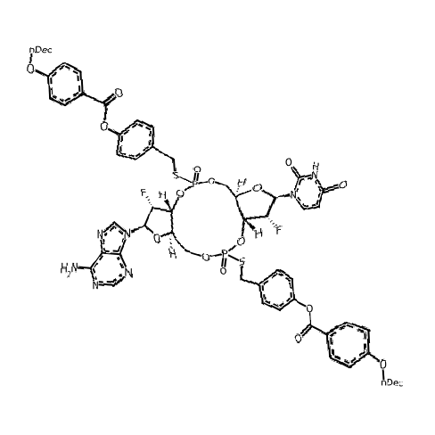 CCCCCCCCCCOc1ccc(C(=O)Oc2ccc(CSP3(=O)OC[C@H]4O[C@@H](n5cnc6c(N)ncnc65)[C@H](F)[C@@H]4OP(=O)(SCc4ccc(OC(=O)c5ccc(OCCCCCCCCCC)cc5)cc4)OC[C@H]4O[C@@H](n5ccc(=O)[nH]c5=O)[C@H](F)[C@@H]4O3)cc2)cc1